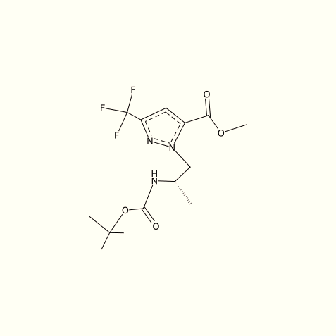 COC(=O)c1cc(C(F)(F)F)nn1C[C@H](C)NC(=O)OC(C)(C)C